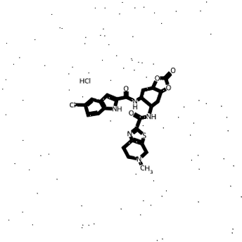 CN1CCc2nc(C(=O)NC3CC4OC(=O)OC4CC3NC(=O)c3cc4cc(Cl)ccc4[nH]3)sc2C1.Cl